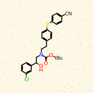 CC(C)(C)OC(=O)N(CCc1ccc(Sc2ccc(C#N)cc2)cc1)CC(O)c1cccc(Cl)c1